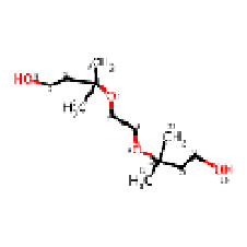 CC(C)(CCO)OCCOC(C)(C)CCO